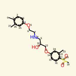 Cc1ccc(OCCNCC(O)COc2ccc(S(C)(=O)=O)c(C)c2)cc1C